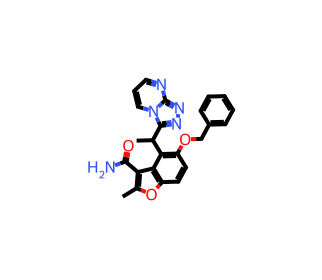 Cc1oc2ccc(OCc3ccccc3)c(C(C)c3nnc4ncccn34)c2c1C(N)=O